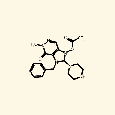 Cn1ncc2c(c1=O)N(Cc1ccccc1)C(N1CCNCC1)N2OC(=O)C(F)(F)F